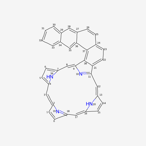 C1=Cc2cc3ccc(cc4nc(cc5ccc(cc1n2)[nH]5)-c1ccc2ccc5cc6ccccc6cc5c2c1-4)[nH]3